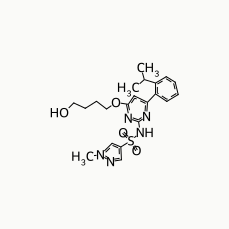 CC(C)c1ccccc1-c1cc(OCCCCO)nc(NS(=O)(=O)c2cnn(C)c2)n1